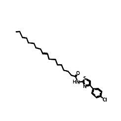 CCCCCCCC/C=C/CCCCCCCC(=O)Nc1nc(-c2ccc(Cl)cc2)cs1